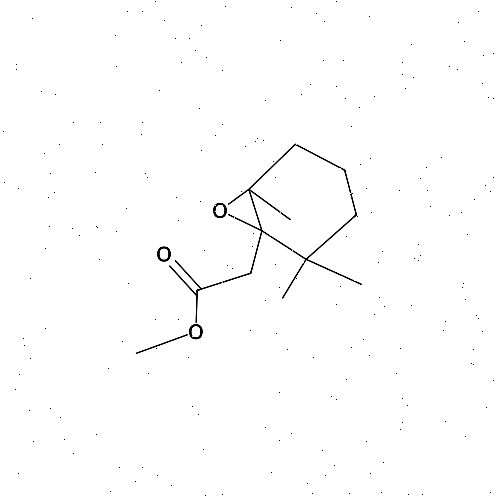 COC(=O)CC12OC1(C)CCCC2(C)C